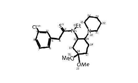 CCN(C(=S)Cc1cccc(Cl)c1)C1CC(OC)(OC)CCC1N1CCCCC1